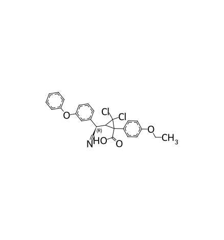 CCOc1ccc(C2(C(=O)O)C([C@@H](C#N)c3cccc(Oc4ccccc4)c3)C2(Cl)Cl)cc1